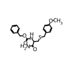 COc1ccc(CSCC(NC(=O)OCc2ccccc2)C(N)=O)cc1